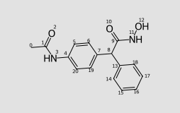 CC(=O)Nc1ccc(C(C(=O)NO)c2ccccc2)cc1